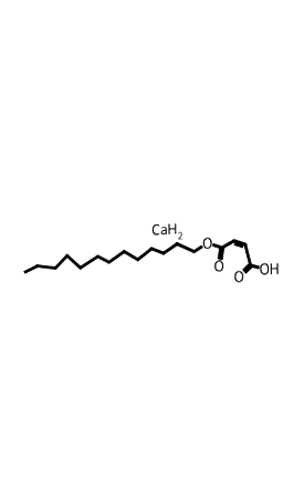 CCCCCCCCCCCCCOC(=O)/C=C\C(=O)O.[CaH2]